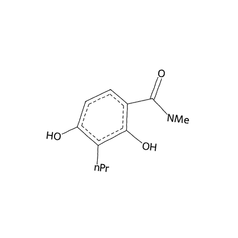 CCCc1c(O)ccc(C(=O)NC)c1O